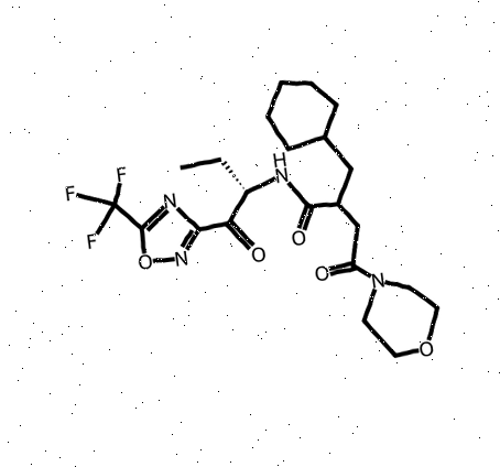 CC[C@H](NC(=O)C(CC(=O)N1CCOCC1)CC1CCCCC1)C(=O)c1noc(C(F)(F)F)n1